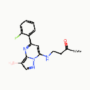 Bc1cnn2c(NCCC(=O)NC)cc(-c3ccccc3F)nc12